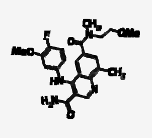 COCCN(C)C(=O)c1cc(C)c2ncc(C(N)=O)c(Nc3ccc(F)c(OC)c3)c2c1